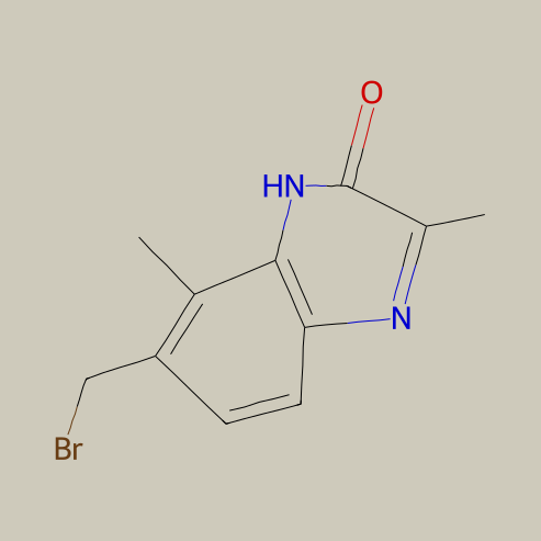 Cc1nc2ccc(CBr)c(C)c2[nH]c1=O